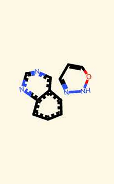 C1=CONN=C1.c1ccc2ncncc2c1